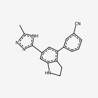 Cc1nnc(-c2cc3c(c(-c4cccc(C#N)c4)c2)CCN3)[nH]1